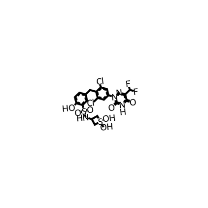 O=c1[nH]c(=O)n(-c2cc(Cl)c(Cc3ccc(O)c(S(=O)(=O)NC4CS(O)(O)C4)c3)c(Cl)c2)nc1C(F)F